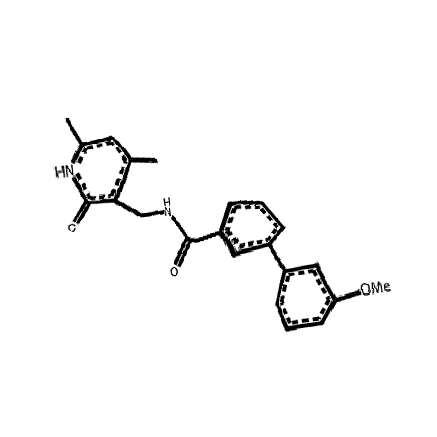 COc1cccc(-c2cccc(C(=O)NCc3c(C)cc(C)[nH]c3=O)c2)c1